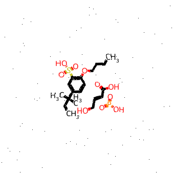 CCCCOc1ccc(C(C)(C)CC)cc1S(=O)(=O)O.O=C(O)/C=C/CO.O=P(=O)O